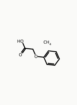 C.O=C(O)COc1ccccc1